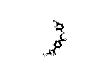 O=C(COc1ccc(Br)nc1)c1ccc(-c2noc(C(F)(F)F)n2)cc1